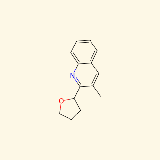 Cc1cc2ccccc2nc1C1CCCO1